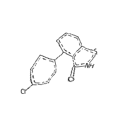 O=c1[nH]sc2cccc(-c3ccc(Cl)cc3)c12